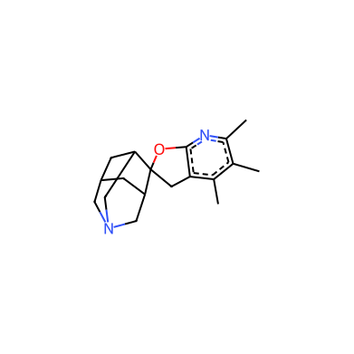 Cc1nc2c(c(C)c1C)CC1(O2)C2CC3CC1CN(C3)C2